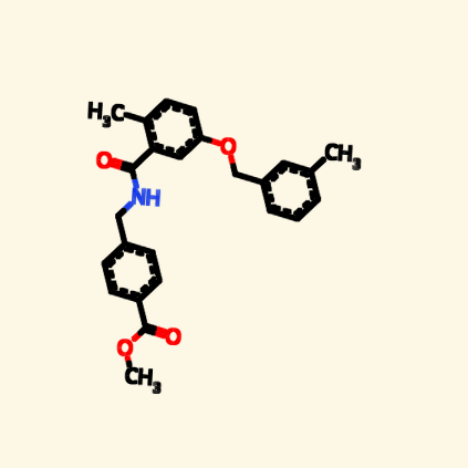 COC(=O)c1ccc(CNC(=O)c2cc(OCc3cccc(C)c3)ccc2C)cc1